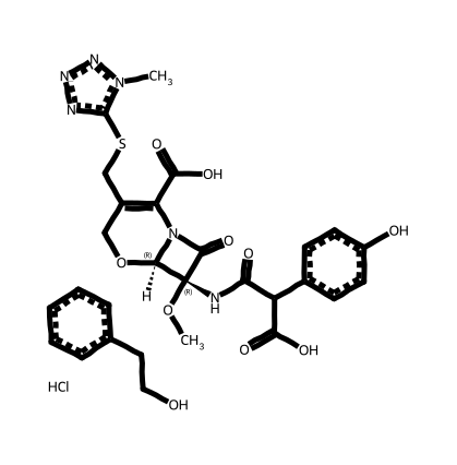 CO[C@@]1(NC(=O)C(C(=O)O)c2ccc(O)cc2)C(=O)N2C(C(=O)O)=C(CSc3nnnn3C)CO[C@@H]21.Cl.OCCc1ccccc1